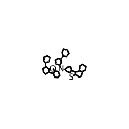 c1ccc(-c2cccc(N(c3ccc4c(c3)sc3ccc5ccccc5c34)c3cccc4c3oc3c(-c5ccccc5)cccc34)c2)cc1